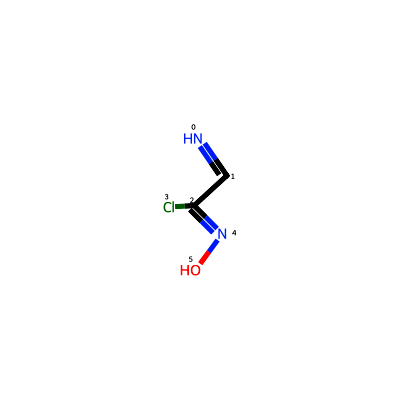 N=C/C(Cl)=N/O